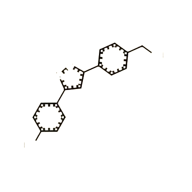 CCc1ccc(-c2cc(-c3ccc(O)cc3)no2)cc1